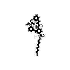 CCc1cccc(N(CC)C(=O)Cn2c(C(=O)N[C@H]3CC[C@H](C(=O)NCCCCCCCCI)CC3)cc3ccccc32)c1